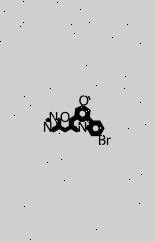 COc1cc2c(=O)c(Cc3cncnc3)cn3c4cc(Br)ccc4c(c1)c23